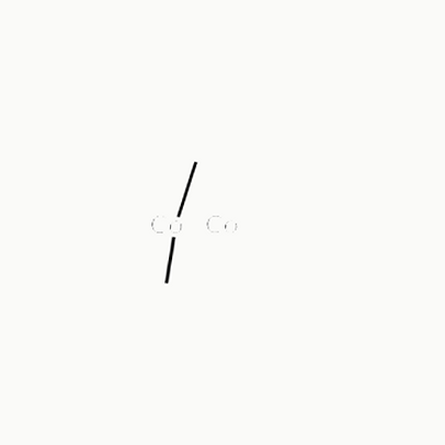 [CH3][Co][CH3].[Co]